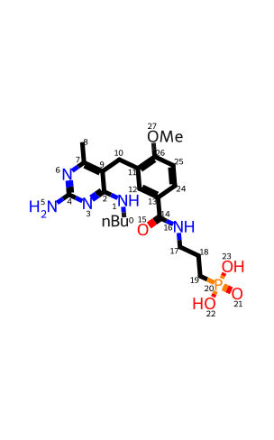 CCCCNc1nc(N)nc(C)c1Cc1cc(C(=O)NCCCP(=O)(O)O)ccc1OC